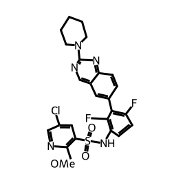 COc1ncc(Cl)cc1S(=O)(=O)Nc1ccc(F)c(-c2ccc3nc(N4CCCCC4)ncc3c2)c1F